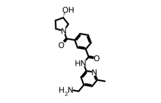 Cc1cc(CN)cc(NC(=O)c2cccc(C(=O)N3CC[C@H](O)C3)c2)n1